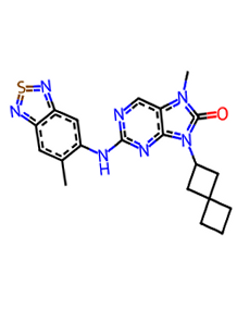 Cc1cc2nsnc2cc1Nc1ncc2c(n1)n(C1CC3(CCC3)C1)c(=O)n2C